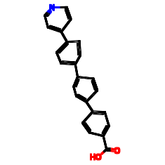 O=C(O)c1ccc(-c2ccc(-c3ccc(-c4ccncc4)cc3)cc2)cc1